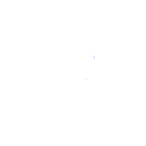 O=C1CCC2(CC1)CNC(=O)N2